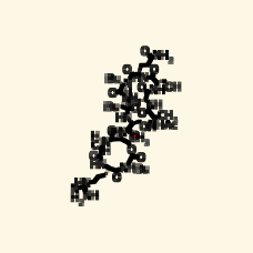 CC[C@@H](C)[C@@H](NC(=O)[C@@H](CCC(N)=O)NC(=O)[C@H](CO)NC(=O)[C@@H](NC(=O)[C@@H](C)NC(C)=O)[C@@H](C)CC)C(=O)N[C@H](C(=O)N[C@@H](CO)C(=O)N[C@H]1C(=O)N[C@@H](C)C(=O)N[C@@H](CCCNC(=N)N)C(=O)N[C@@H]([C@@H](C)CC)C(=O)O[C@H]1C)[C@@H](C)CC